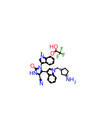 Cn1cc(-n2c(-c3cn(C[C@H]4CC[C@@H](N)C4)c4ccccc34)c(C#N)[nH]c2=O)c2ccccc21.O=C(O)C(F)(F)F